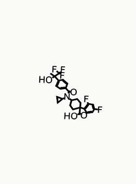 CC(O)(c1ccc(C(=O)N(C2CC2)C2CCC(C(=O)O)(c3ccc(F)cc3F)CC2)cc1)C(F)(F)F